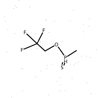 C[PH](=S)OCC(F)(F)F